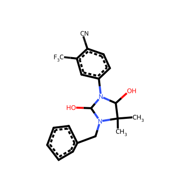 CC1(C)C(O)N(c2ccc(C#N)c(C(F)(F)F)c2)C(O)N1Cc1ccccc1